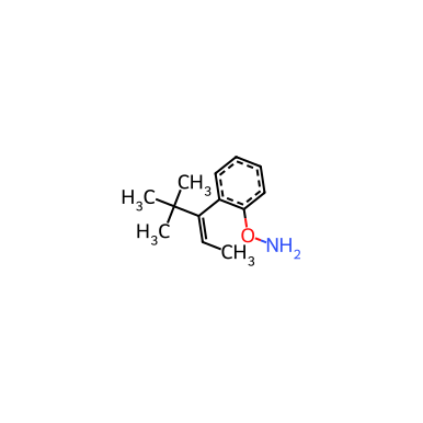 C/C=C(\c1ccccc1ON)C(C)(C)C